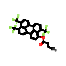 CCCC(=O)Oc1ccc2c3ccc(C(F)(F)F)c4c(C(F)(F)F)ccc(c5ccc(C(F)(F)F)c1c25)c43